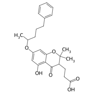 CC(CCCc1ccccc1)Oc1cc(O)c2c(c1)OC(C)(C)C(CCC(=O)O)C2=O